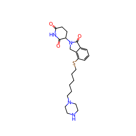 O=C1CCC(N2Cc3c(SCCCCCCN4CCNCC4)cccc3C2=O)C(=O)N1